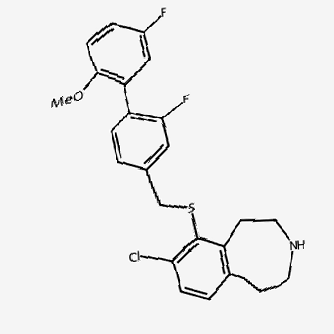 COc1ccc(F)cc1-c1ccc(CSc2c(Cl)ccc3c2CCNCC3)cc1F